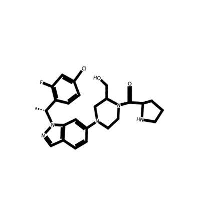 C[C@H](c1ccc(Cl)cc1F)n1ncc2ccc(N3CCN(C(=O)C4CCCN4)C(CO)C3)cc21